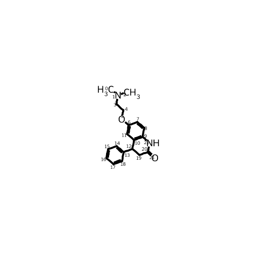 CN(C)CCOc1ccc2c(c1)C(c1ccccc1)CC(=O)N2